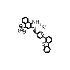 Nc1c(N=Nc2ccc(-c3cccc4c3sc3ccccc34)nc2)cc(S(=O)(=O)[O-])c2ccccc12.[K+]